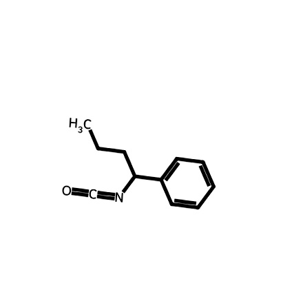 CCCC(N=C=O)c1ccccc1